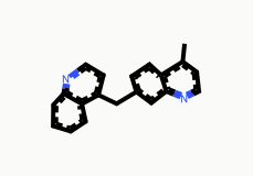 Cc1ccnc2cc(Cc3ccnc4ccccc34)ccc12